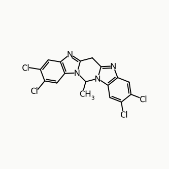 CC1n2c(nc3cc(Cl)c(Cl)cc32)Cc2nc3cc(Cl)c(Cl)cc3n21